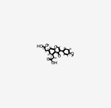 COc1ccc(-c2coc3cc(CC(=O)O)cc(CC(=O)O)c3c2=O)cc1